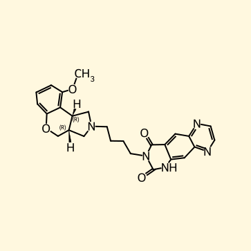 COc1cccc2c1[C@@H]1CN(CCCCn3c(=O)[nH]c4cc5nccnc5cc4c3=O)C[C@@H]1CO2